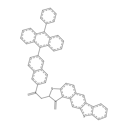 C=C(CC1Sc2ccc3cc4c(cc3c2C1=C)sc1ccccc14)c1ccc2cc(-c3c4ccccc4c(-c4ccccc4)c4ccccc34)ccc2c1